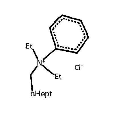 CCCCCCCC[N+](CC)(CC)c1ccccc1.[Cl-]